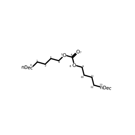 CCCCCCCCCCCCCCOC(=O)OCCCCCCCCCCCCCC